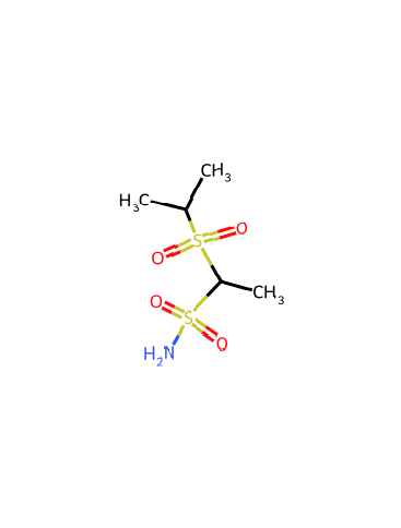 CC(C)S(=O)(=O)C(C)S(N)(=O)=O